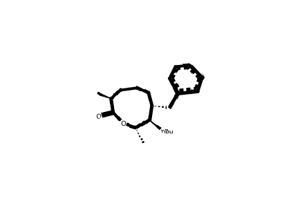 CCCC[C@@H]1[C@@H](Cc2ccccc2)CCC[C@H](C)C(=O)O[C@H]1C